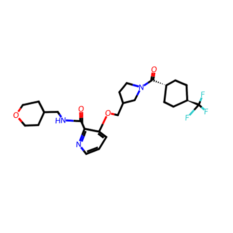 O=C(NCC1CCOCC1)c1ncccc1OCC1CCN(C(=O)[C@H]2CC[C@H](C(F)(F)F)CC2)C1